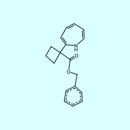 O=C(OCc1ccccc1)C1(C2=CC=CC=CN2)CCC1